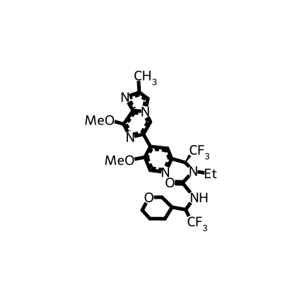 CCN(C(=O)NC(C1CCCOC1)C(F)(F)F)[C@@H](c1cc(-c2cn3cc(C)nc3c(OC)n2)c(OC)cn1)C(F)(F)F